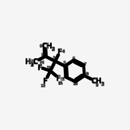 C=C(C)C(F)(c1ccc(C)cc1)C(F)(F)F